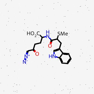 CSC(Cc1c[nH]c2ccccc12)C(=O)NC(CCC(=O)C=[N+]=[N-])C(=O)O